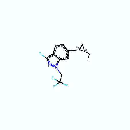 CC[C@H]1C[C@@H]1c1ccc2c(F)nn(CC(F)(F)F)c2c1